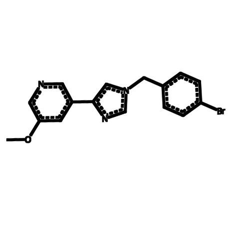 COc1cncc(-c2cn(Cc3ccc(Br)cc3)cn2)c1